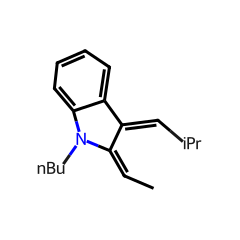 C/C=c1\c(=C/C(C)C)c2ccccc2n1CCCC